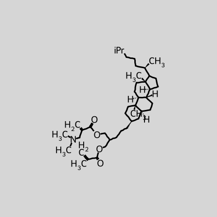 C=C(C)C(=O)OCC(CCC[C@H]1CC[C@@]2(C)[C@@H](CC[C@@H]3[C@@H]2CC[C@]2(C)C([C@H](C)CCCC(C)C)CC[C@@H]32)C1)COC(=O)C(=C)CN(C)C